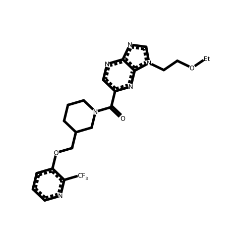 CCOCCn1cnc2ncc(C(=O)N3CCCC(COc4cccnc4C(F)(F)F)C3)nc21